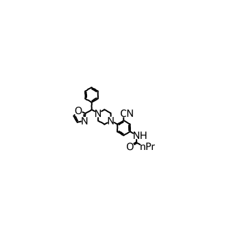 CCCC(=O)Nc1ccc(N2CCN(C(c3ccccc3)c3ncco3)CC2)c(C#N)c1